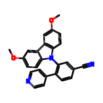 COc1ccc2c(c1)c1cc(OC)ccc1n2-c1cc(C#N)ccc1-c1ccncc1